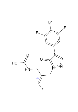 O=C(O)NC/C(=C/F)Cn1ncn(-c2cc(F)c(Br)c(F)c2)c1=O